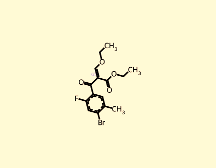 CCO/C=C(\C(=O)OCC)C(=O)c1cc(C)c(Br)cc1F